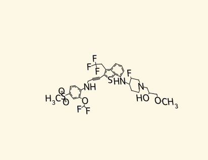 COCC(O)CN1CCC(Nc2cccc3c(CC(F)(F)F)c(C#CCNc4ccc(S(C)(=O)=O)cc4OC(F)F)sc23)C(F)C1